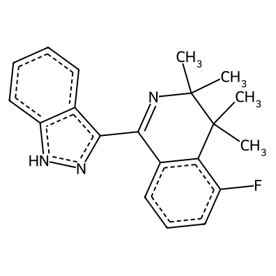 CC1(C)N=C(c2n[nH]c3ccccc23)c2cccc(F)c2C1(C)C